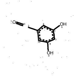 C=O.Cc1cc(O)cc(O)c1